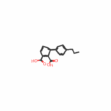 CCCc1ccc(-c2cccc(C(=O)O)c2C(=O)O)cc1